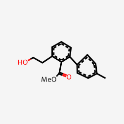 COC(=O)c1c(CCO)cccc1-c1ccc(C)cc1